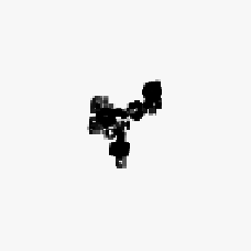 COc1cc(CCN2CCN(c3nsc4ccccc34)CC2)c(NC(=O)Cc2ccc(Cl)cc2)cc1OC